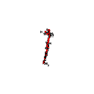 CCCCN/C(=N/C(=N)NCCOCCOCCC(=O)NCc1ccc(OC(=O)CCOCCOCCOCCOCCOCCOCCN)cc1)NNCc1cccc(F)c1